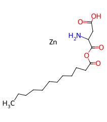 CCCCCCCCCCCC(=O)OC(=O)C(N)CC(=O)O.[Zn]